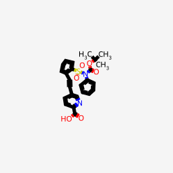 CC(C)(C)OC(=O)N(c1ccccc1)S(=O)(=O)c1ccccc1C#Cc1ccc(C(=O)O)nc1